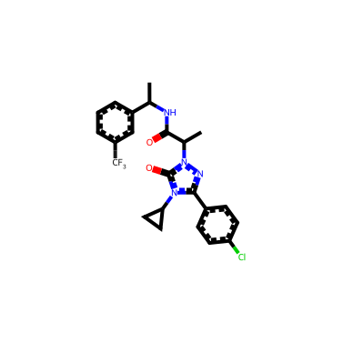 CC(NC(=O)C(C)n1nc(-c2ccc(Cl)cc2)n(C2CC2)c1=O)c1cccc(C(F)(F)F)c1